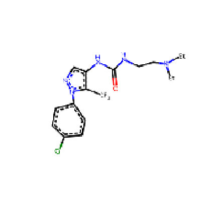 CCN(CC)CCNC(=O)Nc1cnn(-c2ccc(Cl)cc2)c1C(F)(F)F